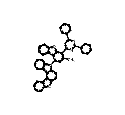 Cc1cc(-n2c3ccccc3c3c4c(ccc32)oc2ccccc24)c2c(oc3ccccc32)c1-c1nc(-c2ccccc2)nc(-c2ccccc2)n1